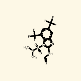 CN(C)S(=O)(=O)n1c(NC=S)nc2cc(C(F)(F)F)cc(C(F)(F)F)c21